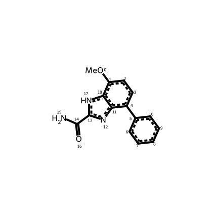 COc1ccc(-c2ccccc2)c2nc(C(N)=O)[nH]c12